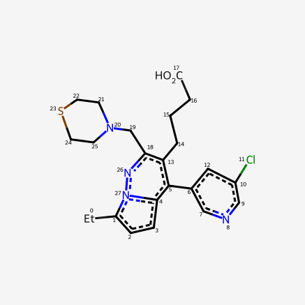 CCc1ccc2c(-c3cncc(Cl)c3)c(CCCC(=O)O)c(CN3CCSCC3)nn12